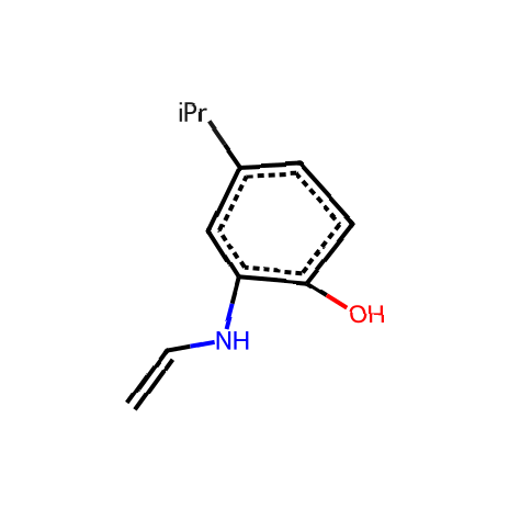 C=CNc1cc(C(C)C)ccc1O